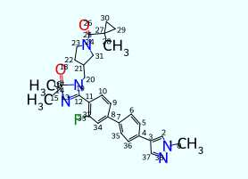 Cn1cc(-c2ccc(-c3ccc(C4=NC(C)(C)C(=O)N4CC4CCN(C(=O)C5(C)CC5)C4)c(F)c3)cc2)cn1